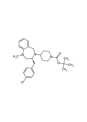 CN1C[C@H](Cc2ccc(Cl)cc2)N(C2CCN(C(=O)OC(C)(C)C)CC2)Cc2ccccc21